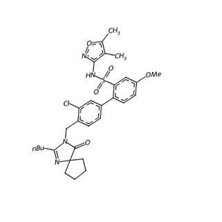 CCCCC1=NC2(CCCC2)C(=O)N1Cc1ccc(-c2ccc(OC)cc2S(=O)(=O)Nc2noc(C)c2C)cc1Cl